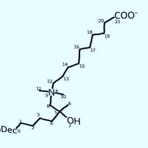 CCCCCCCCCCCCCCC(C)(O)C[N+](C)(C)CCCCCCCCCC(=O)[O-]